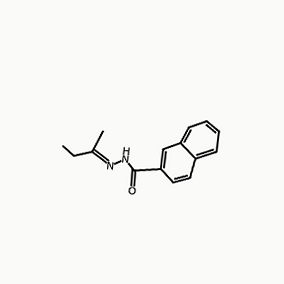 CC/C(C)=N/NC(=O)c1ccc2ccccc2c1